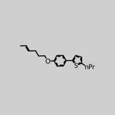 CC=CCCCOc1ccc(-c2ccc(CCC)s2)cc1